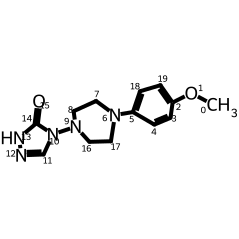 COc1ccc(N2CCN(n3cn[nH]c3=O)CC2)cc1